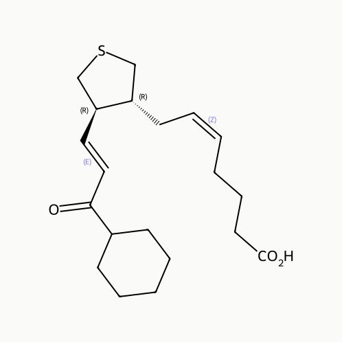 O=C(O)CCC/C=C\C[C@H]1CSC[C@@H]1/C=C/C(=O)C1CCCCC1